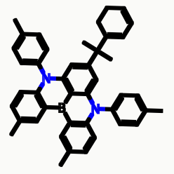 Cc1ccc(N2c3ccc(C)cc3B3c4cc(C)ccc4N(c4ccc(C)cc4)c4cc(C(C)(C)C5=CC=CCC5)cc2c43)cc1